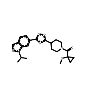 COC1(C(=O)N2CCC(c3nc(-c4ccc5cnn(C(C)C)c5c4)no3)CC2)CC1